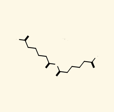 N.O=C(O)CCCCC(=O)OC(=O)CCCCC(=O)O